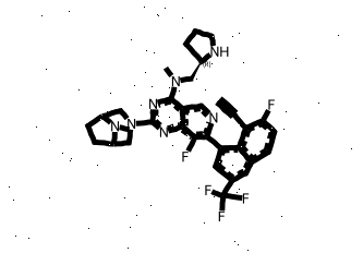 C#Cc1c(F)ccc2cc(C(F)(F)F)cc(-c3ncc4c(N(C)C[C@H]5CCCN5)nc(N5CC6CCC(C5)N6C)nc4c3F)c12